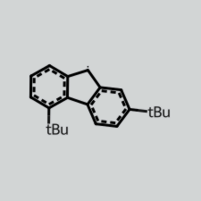 CC(C)(C)c1ccc2c(c1)[CH]c1cccc(C(C)(C)C)c1-2